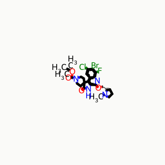 CN1CCC[C@H]1COc1nc2c(F)c(Br)c(Cl)cc2c2c1NC(=O)C21CCN(C(=O)OC(C)(C)C)CC1